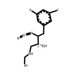 CC(C)CNC[C@@H](O)C(Cc1cc(F)cc(F)c1)N=[N+]=[N-]